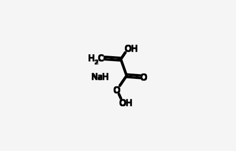 C=C(O)C(=O)OO.[NaH]